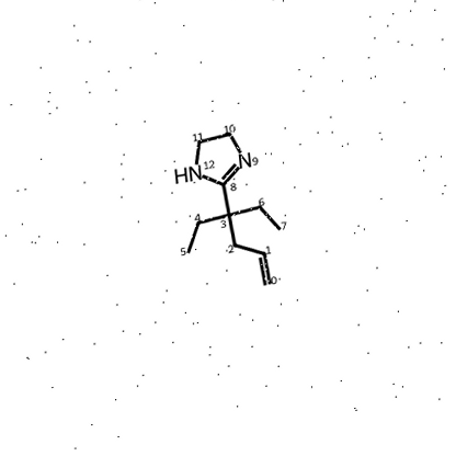 C=CCC(CC)(CC)C1=NCCN1